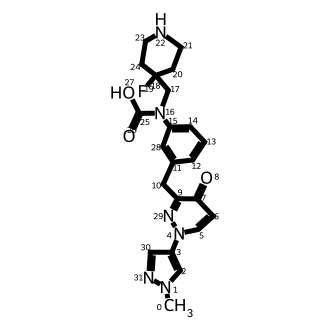 Cn1cc(-n2ccc(=O)c(Cc3cccc(N(CC4(F)CCNCC4)C(=O)O)c3)n2)cn1